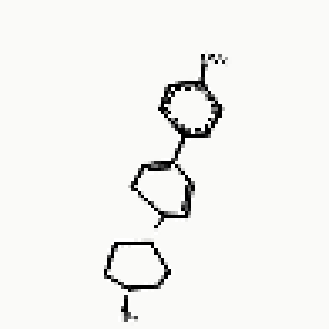 CCC[C@H]1CC[C@H](C2C=CC(c3ccc(OC)cc3)=CC2)CC1